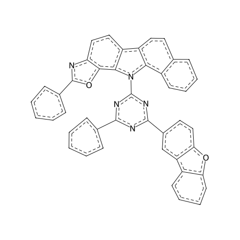 c1ccc(-c2nc(-c3ccc4oc5ccccc5c4c3)nc(-n3c4c5ccccc5ccc4c4ccc5nc(-c6ccccc6)oc5c43)n2)cc1